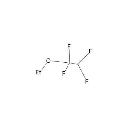 CCOC(F)(F)[C](F)F